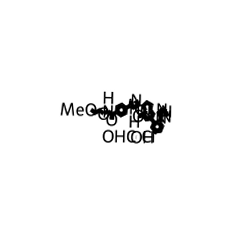 COCCONC(=O)c1ccc(-c2cnc([C@@H]3CCc4cc(-c5cc(Cl)ccc5-n5cnnn5)cc(=O)n43)[nH]2)cc1.O=CO